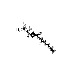 CC(C)(C)OC(=O)NC12CC(C(=O)NNC(=O)OCCOCC(F)(F)F)(C1)C2